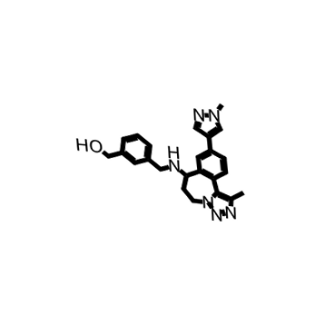 Cc1nnn2c1-c1ccc(-c3cnn(C)c3)cc1C(NCc1cccc(CO)c1)CC2